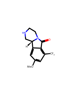 COc1cc2c(c(C(F)(F)F)c1)C(=O)N1CCNC[C@@H]21